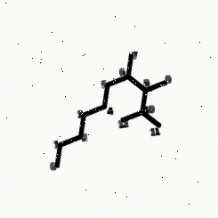 CCCCCCC(C)[C](C)C(C)C